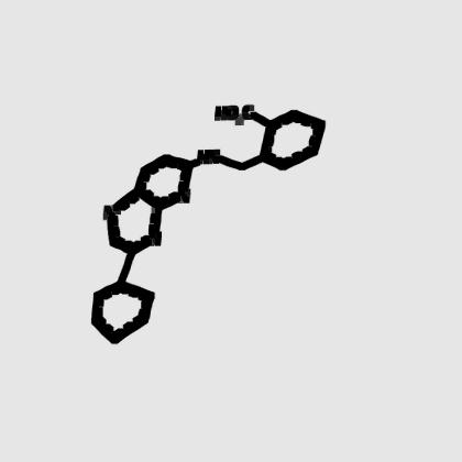 O=C(O)c1ccccc1CNc1ccc2ncc(-c3ccccc3)nc2n1